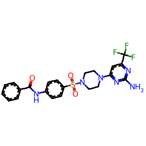 Nc1nc(N2CCN(S(=O)(=O)c3ccc(NC(=O)c4ccccc4)cc3)CC2)cc(C(F)(F)F)n1